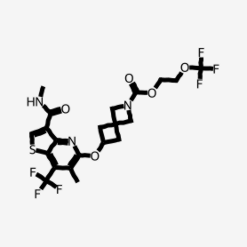 CNC(=O)c1csc2c(C(F)(F)F)c(C)c(OC3CC4(C3)CN(C(=O)OCCOC(F)(F)F)C4)nc12